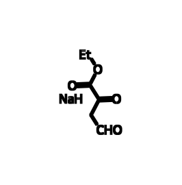 CCOC(=O)C(=O)CC=O.[NaH]